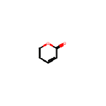 O=C1C=[C]CCO1